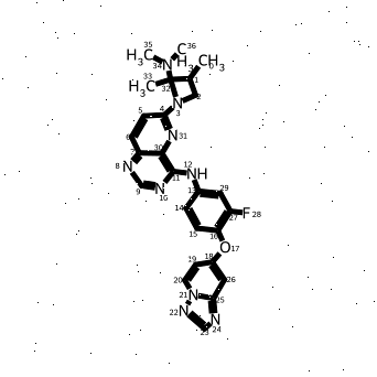 CC1CN(c2ccc3ncnc(Nc4ccc(Oc5ccn6ncnc6c5)c(F)c4)c3n2)C1(C)N(C)C